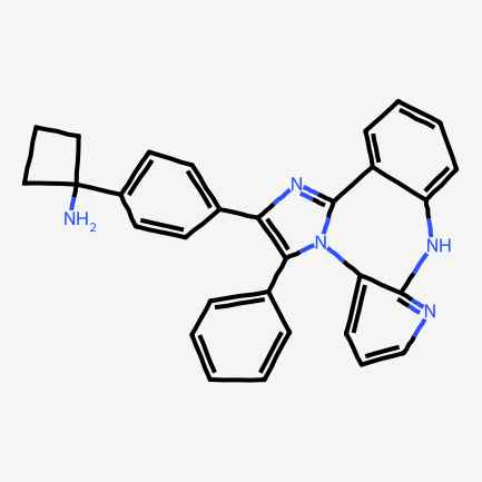 NC1(c2ccc(-c3nc4n(c3-c3ccccc3)-c3cccnc3Nc3ccccc3-4)cc2)CCC1